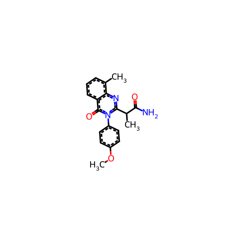 COc1ccc(-n2c(C(C)C(N)=O)nc3c(C)cccc3c2=O)cc1